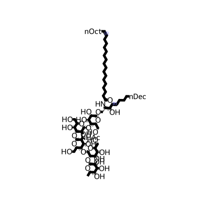 CCCCCCCC/C=C\CCCCCCCCCCCCCCCC(=O)N[C@@H](CO[C@@H]1OC(CO)[C@@H](O[C@@H]2OC(CO)[C@H](O)[C@H](O[C@@H]3OC(CO)[C@@H](O[C@@H]4OC(CO)[C@H](O)[C@H](O)C4O[C@H]4OC(C)[C@@H](O)C(O)[C@@H]4O)[C@H](O)C3NC(C)=O)C2O)[C@H](O)C1O)[C@H](O)/C=C/CCCCCCCCCCCCC